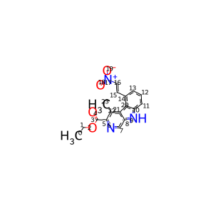 CCOC(=O)c1ncc2[nH]c3cccc(C=C[N+](=O)[O-])c3c2c1C